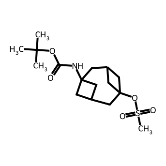 CC(C)(C)OC(=O)NC12CC(C1)CC1(OS(C)(=O)=O)CC(C2)C1